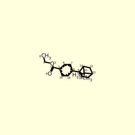 CCOC(=O)c1ccc(C2=CCC3CC2C3(C)C)cc1